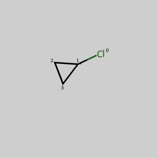 Cl[C]1CC1